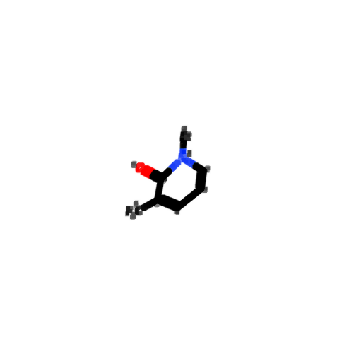 [CH2]Cn1cccc(C(F)(F)F)c1=O